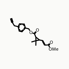 C#CCc1ccc(COC(=O)C2C(C=CC(=O)OC)C2(C)C)cc1